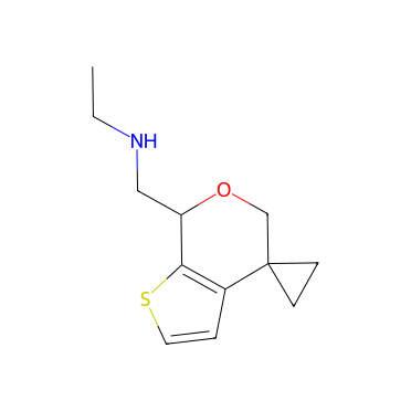 CCNCC1OCC2(CC2)c2ccsc21